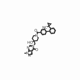 Cn1ncc2c(=O)n(CC3(O)CCN(C(=O)c4ccc(-c5ccccc5C5(C#N)CC5)cc4)CC3)cnc21